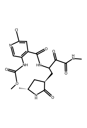 CNC(=O)C(=O)C(C[C@@H]1C[C@@H](C)NC1=O)NC(=O)c1cc(Cl)ncc1NC(=O)OC